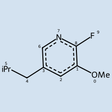 COc1cc(CC(C)C)cnc1F